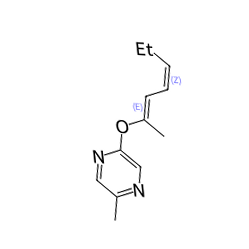 CC/C=C\C=C(/C)Oc1cnc(C)cn1